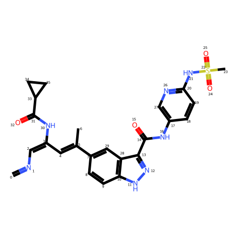 C=N/C=C(\C=C(/C)c1ccc2[nH]nc(C(=O)Nc3ccc(NS(C)(=O)=O)nc3)c2c1)NC(=O)C1CC1